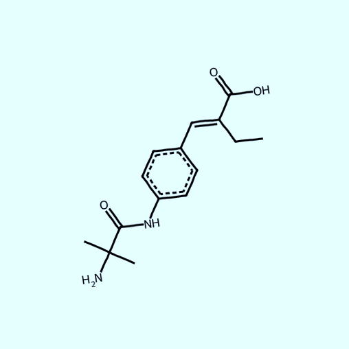 CC/C(=C\c1ccc(NC(=O)C(C)(C)N)cc1)C(=O)O